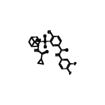 O=C(Nc1ccc(F)c(F)c1)c1ccc(Cl)c(S(=O)(=O)C2CC3CC(C2)C3(O)CNC(=O)C2CC2)c1